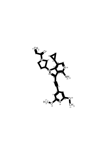 C=CC(=O)N1CCC(n2nc(C#Cc3cc(OC)nc(OC)c3)c3c(N)ncc(C4CC4)c32)C1